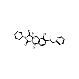 CCc1c(OCc2ccccn2)ccc2c1C[C@H]1C(=O)N(C3CCCCC3)C(=O)N1[C@@H]2CC